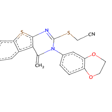 C=C1c2c(sc3ccccc23)N=C(SCC#N)N1c1ccc2c(c1)OCCO2